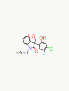 CCCCCN1C(=O)C(CO)(c2cc(F)c(Cl)cc2O)c2ccccc21